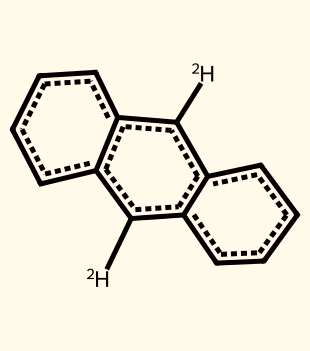 [2H]c1c2ccccc2c([2H])c2ccccc12